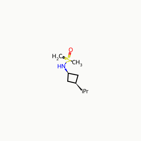 C=S(C)(=O)N[C@H]1C[C@@H](C(C)C)C1